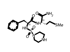 CSCC[C@H](NC(=O)[C@H](Cc1ccccc1)NS(=O)(=O)N1CCNCC1)C(N)=O